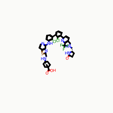 O=C1CC[C@@H](CNCc2ccc(-c3cccc(-c4cccc(Nc5nccc6sc(CNC78CCC(C(=O)O)(CC7)CC8)nc56)c4Cl)c3Cl)nc2C(F)(F)F)N1